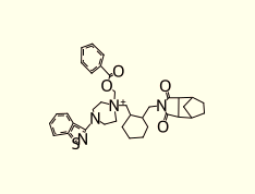 O=C(OC[N+]1(CC2CCCCC2CN2C(=O)C3C4CCC(C4)C3C2=O)CCN(c2nsc3ccccc23)CC1)c1ccccc1